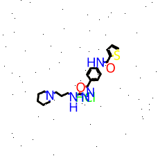 Cl.O=C(Nc1ccc(-c2nnc(NCCCN3CCCCC3)o2)cc1)c1cccs1